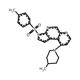 [CH2]C1CCN(c2ccnc3cnc4c(ccn4S(=O)(=O)c4ccc(C)cc4)c23)CC1